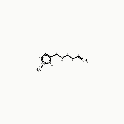 C=CCCNCc1ccn(C)n1